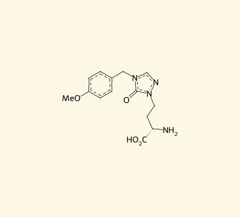 COc1ccc(Cn2cnn(CC[C@H](N)C(=O)O)c2=O)cc1